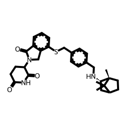 CC1(C)C2CC[C@@]1(C)[C@@H](NCc1ccc(CSc3cccc4c3CN(C3CCC(=O)NC3=O)C4=O)cc1)C2